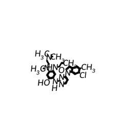 C=CC(=O)Nc1cc(Nc2nccc(-n3ccc4cc(C)c(Cl)cc43)n2)c(O)cc1N(C)CCN(C)C